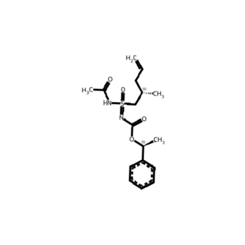 C=CC[C@H](C)CS(=O)(=NC(=O)O[C@@H](C)c1ccccc1)NC(C)=O